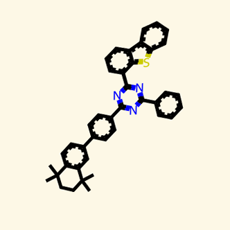 CC1(C)CCC(C)(C)c2cc(-c3ccc(-c4nc(-c5ccccc5)nc(-c5cccc6c5sc5ccccc56)n4)cc3)ccc21